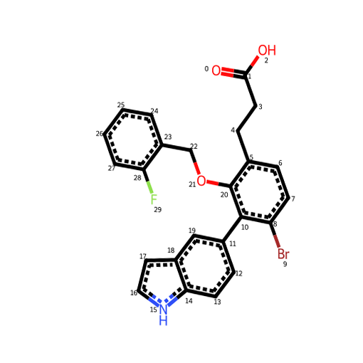 O=C(O)CCc1ccc(Br)c(-c2ccc3[nH]ccc3c2)c1OCc1ccccc1F